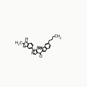 CCCCc1ccc2cc(C(=O)c3cnn(-c4ccc5[nH]c(C)nc5c4)c3N)[nH]c2c1